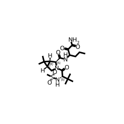 CCCC(NC(=O)[C@@H]1[C@@H]2[C@H](CN1C(=O)[C@@H](NS(C)(=O)=O)C(C)(C)C)C2(C)C)C(=O)C(N)=O